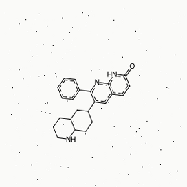 O=c1ccc2cc(C3CCC4NCCCC4C3)c(-c3ccccc3)nc2[nH]1